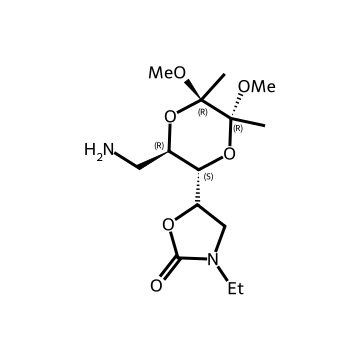 CCN1CC([C@H]2O[C@@](C)(OC)[C@](C)(OC)O[C@@H]2CN)OC1=O